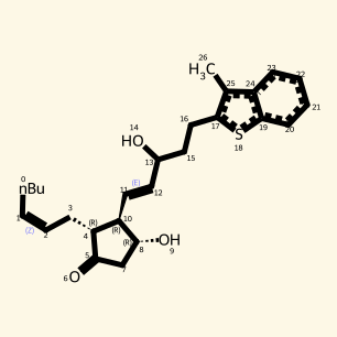 CCCC/C=C\C[C@H]1C(=O)C[C@@H](O)[C@@H]1/C=C/C(O)CCc1sc2ccccc2c1C